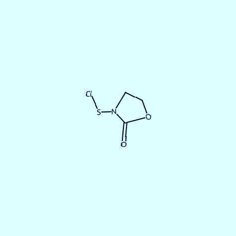 O=C1OCCN1SCl